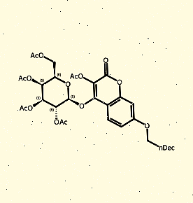 CCCCCCCCCCCOc1ccc2c(O[C@@H]3O[C@H](COC(C)=O)[C@H](OC(C)=O)[C@H](OC(C)=O)[C@H]3OC(C)=O)c(OC(C)=O)c(=O)oc2c1